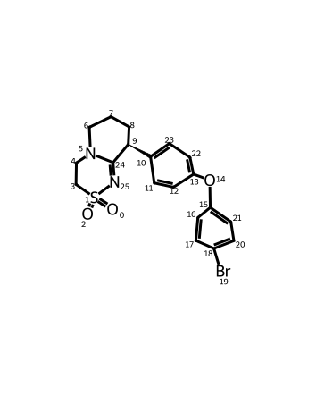 O=S1(=O)CCN2CCC[C@@H](c3ccc(Oc4ccc(Br)cc4)cc3)C2=N1